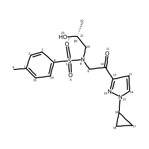 Cc1ccc(S(=O)(=O)N(CC(=O)c2ccn(C3CC3)n2)C[C@@H](C)O)cc1